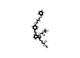 CCOC(=O)CCCc1cn(CC(=O)OC(C)(C)C)c2c(/C=C/c3ccc(OCCCCOc4ccccc4)cc3)cccc12